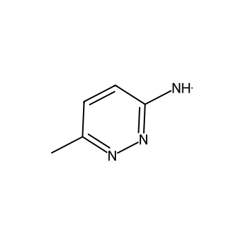 Cc1ccc([NH])nn1